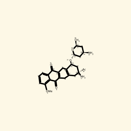 COc1cccc2c1C(=O)C1=C(CC3=C(C1)C[C@@](N)(C(C)=O)C[C@@H]3O[C@H]1C[C@H](N)C[C@H](C)O1)C2=O